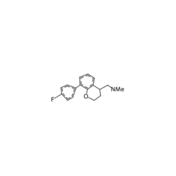 CNCC1CCOc2c(-c3ccc(F)cc3)cccc21